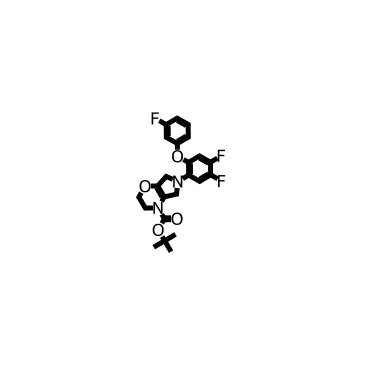 CC(C)(C)OC(=O)N1CCOC2=C1CN(c1cc(F)c(F)cc1Oc1cccc(F)c1)C2